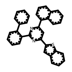 c1ccc(-c2ccccc2-c2nc(-c3cc4ccccc4s3)cc(-c3cccc4ccccc34)n2)cc1